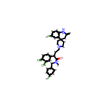 C=C1CC2(CCN(CCC(C(=O)N(C)Cc3ccc(F)cc3)c3ccc(Cl)c(Cl)c3)CC2)c2cc(F)ccc2N1